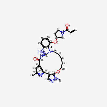 C=CC(=O)N1CCC(Oc2cccc3c2N2CCCCCOc4c(cnn4C)-c4cc(cc(C)n4)C(=O)/N=C/2N3)C1